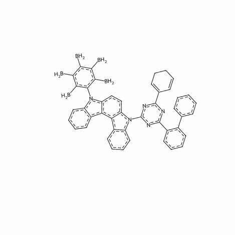 Bc1c(B)c(B)c(-n2c3ccccc3c3c4c5ccccc5n(-c5nc(C6=CCCC=C6)nc(-c6ccccc6-c6ccccc6)n5)c4ccc32)c(B)c1B